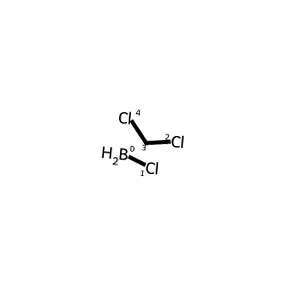 BCl.ClCCl